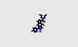 CCCN(CCC)C(=O)[C@H]1CCC2=C1[C@@H](C)C1=CNN(c3ccc(F)cc3)C1=C2